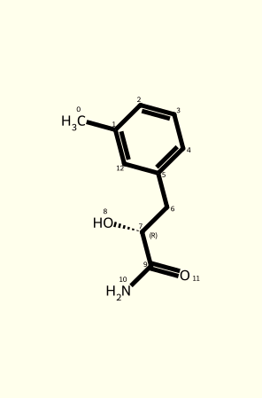 Cc1cccc(C[C@@H](O)C(N)=O)c1